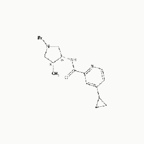 CC(C)N1C[C@@H](C)[C@@H](NC(=O)c2cc(C3CC3)ccn2)C1